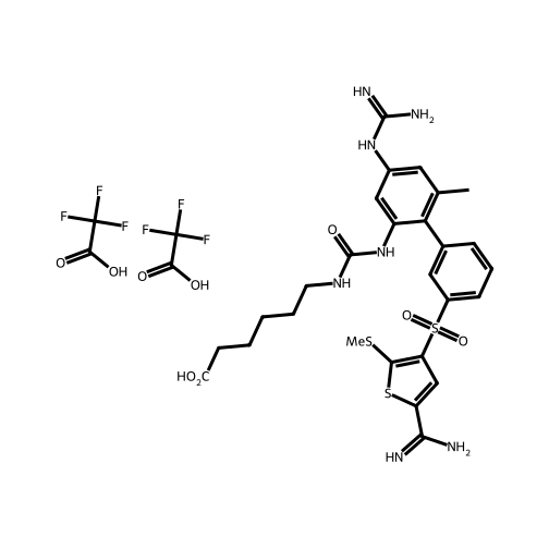 CSc1sc(C(=N)N)cc1S(=O)(=O)c1cccc(-c2c(C)cc(NC(=N)N)cc2NC(=O)NCCCCCC(=O)O)c1.O=C(O)C(F)(F)F.O=C(O)C(F)(F)F